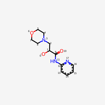 [O]C(CN1CCOCC1)C(=O)Nc1ccccn1